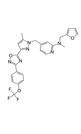 Cc1cc(-c2nc(-c3ccc(OC(F)(F)F)cc3)no2)nn1Cc1ccnc(N(C)Cc2ccco2)c1